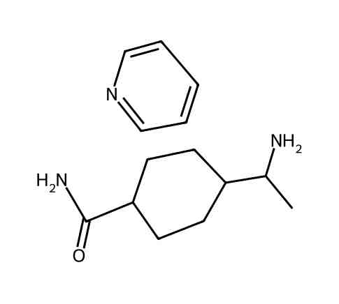 CC(N)C1CCC(C(N)=O)CC1.c1ccncc1